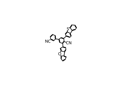 N#Cc1cccc(-c2cc(-c3ccc4c(c3)oc3ccccc34)c(C#N)c(-c3ccc4c(c3)sc3ccccc34)c2)c1